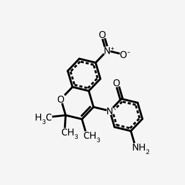 CC1=C(n2cc(N)ccc2=O)c2cc([N+](=O)[O-])ccc2OC1(C)C